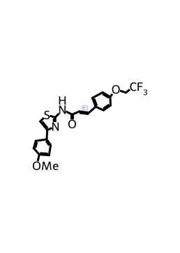 COc1ccc(-c2csc(NC(=O)/C=C/c3ccc(OCC(F)(F)F)cc3)n2)cc1